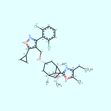 C[C@H]1C[C@@H]2C[C@@H](OCc3c(-c4c(Cl)cccc4Cl)noc3C3CC3)C[C@H]1[C@]2(O)c1nc(CC(=O)O)c(C(F)(F)F)o1